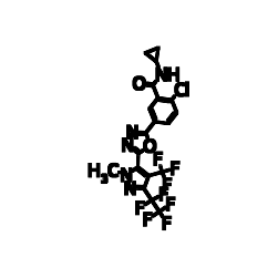 Cn1nc(C(F)(F)C(F)(F)F)c(C(F)(F)F)c1-c1nnc(-c2ccc(Cl)c(C(=O)NC3CC3)c2)o1